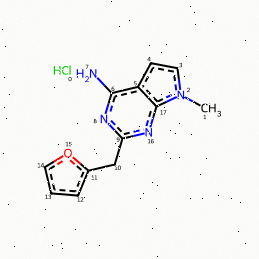 Cl.Cn1ccc2c(N)nc(Cc3ccco3)nc21